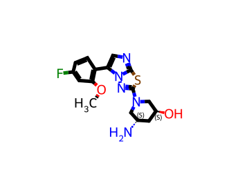 COc1cc(F)ccc1-c1cnc2sc(N3C[C@@H](N)C[C@H](O)C3)nn12